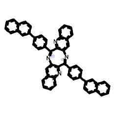 c1ccc2cc(-c3ccc(/C4=N/c5cc6ccccc6nc5/C(c5ccc(-c6ccc7ccccc7c6)cc5)=N\c5cc6ccccc6nc54)cc3)ccc2c1